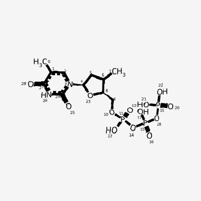 Cc1cn([C@H]2CC(C)[C@@H](COP(=O)(O)OP(=O)(O)OP(=O)(O)O)O2)c(=O)[nH]c1=O